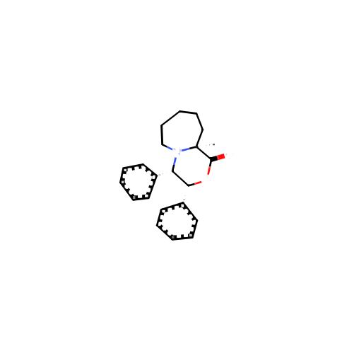 O=C1O[C@H](c2ccccc2)[C@H](c2ccccc2)N2CCCCC[C@@H]12